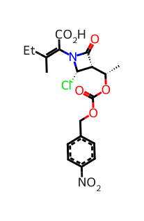 CCC(C)=C(C(=O)O)N1C(=O)[C@H]([C@H](C)OC(=O)OCc2ccc([N+](=O)[O-])cc2)[C@@H]1Cl